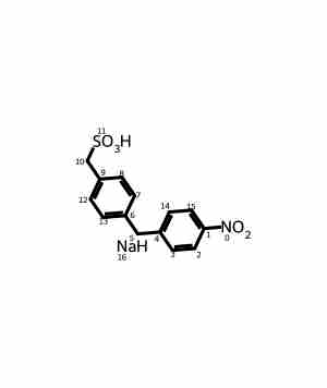 O=[N+]([O-])c1ccc(Cc2ccc(CS(=O)(=O)O)cc2)cc1.[NaH]